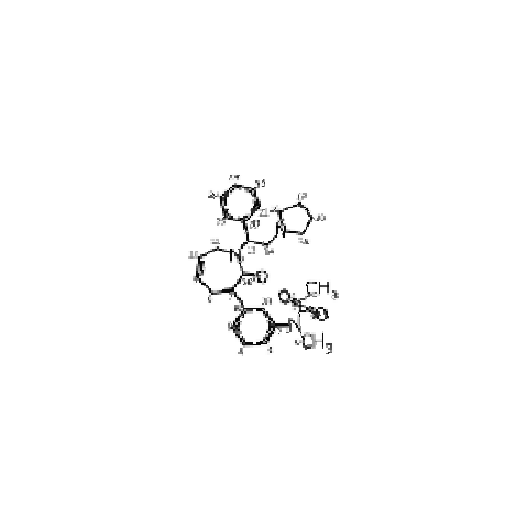 CN(c1cccc(C2CC=CCN(C(CN3CCCC3)c3ccccc3)C2=O)c1)S(C)(=O)=O